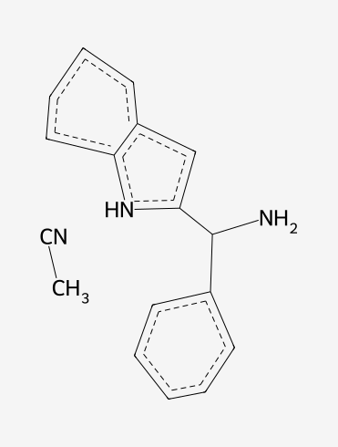 CC#N.NC(c1ccccc1)c1cc2ccccc2[nH]1